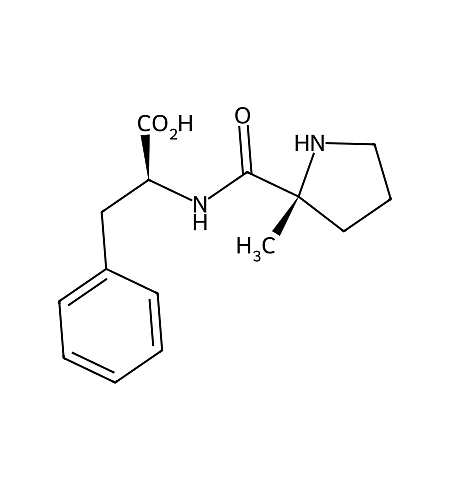 C[C@]1(C(=O)N[C@@H](Cc2ccccc2)C(=O)O)CCCN1